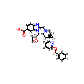 O=C(O)c1ccc2nc(CN3CC[C@]4(c5cccc(OCc6ccccc6)n5)C[C@@H]4C3)n(C[C@@H]3CCO3)c2c1